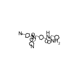 N#Cc1ccc(S(=O)(=O)N(Cc2ccc(C(=O)N[C@@H](Cc3ccccc3)C(N)=O)cc2)Cc2cccnc2)cc1